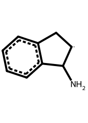 NC1[CH]Cc2ccccc21